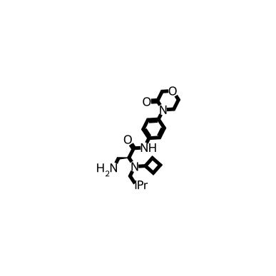 CC(C)CN(C1CCC1)[C@@H](CN)C(=O)Nc1ccc(N2CCOCC2=O)cc1